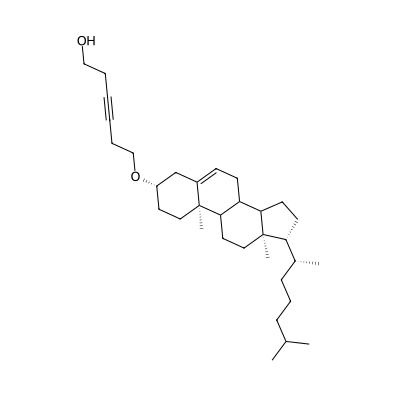 CC(C)CCC[C@@H](C)[C@H]1CCC2C3CC=C4C[C@@H](OCCC#CCCO)CC[C@]4(C)C3CC[C@@]21C